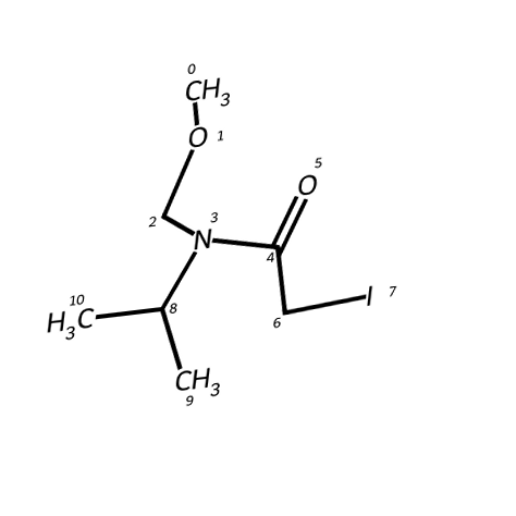 COCN(C(=O)CI)C(C)C